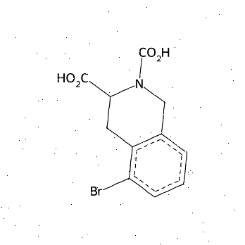 O=C(O)C1Cc2c(Br)cccc2CN1C(=O)O